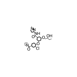 CCC(O)COc1cc(Oc2ccc(C(=O)N3CCC3)cc2Cl)cc(C(=O)Nc2ccn(C)n2)c1